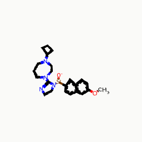 COc1ccc2cc([S+]([O-])N3CCN=C3N3CCCN(C4CCC4)CC3)ccc2c1